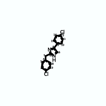 Clc1ccc(Cc2nc(-c3ccc(Cl)cc3)c[nH]2)cc1